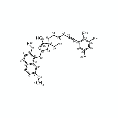 COc1ccc2ncc(CF)c(CCCC3(C(=O)O)CCN(CC#Cc4cc(F)cc(F)c4F)CC3)c2c1